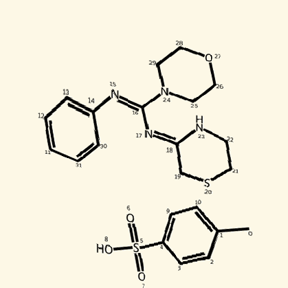 Cc1ccc(S(=O)(=O)O)cc1.c1ccc(N=C(N=C2CSCCN2)N2CCOCC2)cc1